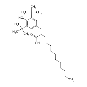 CCCCCCCCCCCC(Cc1cc(C(C)(C)C)c(O)c(C(C)(C)C)c1)C(=O)O